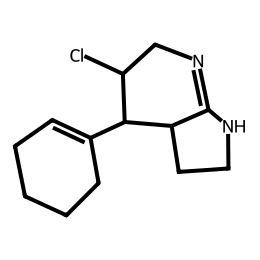 ClC1CN=C2NCCC2C1C1=CCCCC1